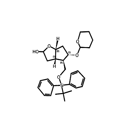 CC(C)(C)[Si](OC[C@H]1[C@@H]2CC(O)O[C@@H]2C[C@@H]1OC1CCCCO1)(c1ccccc1)c1ccccc1